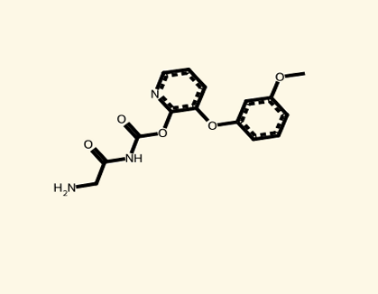 COc1cccc(Oc2cccnc2OC(=O)NC(=O)CN)c1